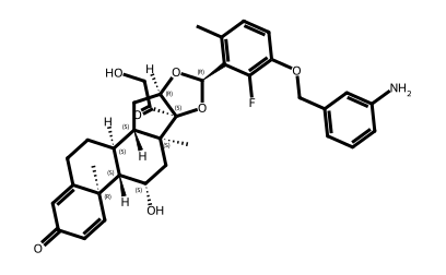 Cc1ccc(OCc2cccc(N)c2)c(F)c1[C@@H]1O[C@@H]2C[C@H]3[C@@H]4CCC5=CC(=O)C=C[C@]5(C)[C@H]4[C@@H](O)C[C@]3(C)[C@]2(C(=O)CO)O1